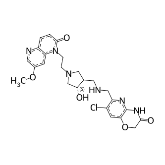 COc1cnc2ccc(=O)n(CCN3CC(CNCc4nc5c(cc4Cl)OCC(=O)N5)[C@H](O)C3)c2c1